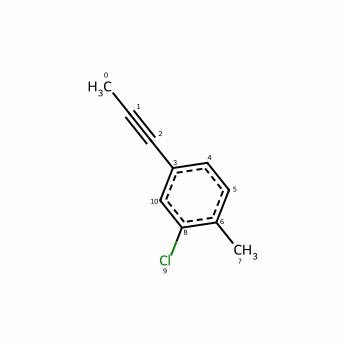 CC#Cc1ccc(C)c(Cl)c1